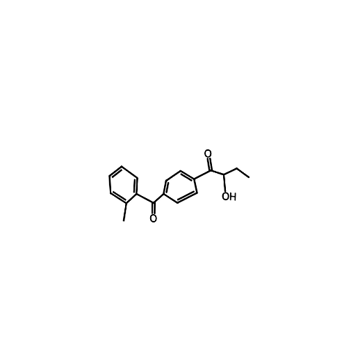 CCC(O)C(=O)c1ccc(C(=O)c2ccccc2C)cc1